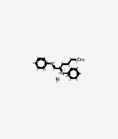 CCCCCCCCCCCCCC(/C=N/c1ccccc1)=N\c1ccccc1.[Ni]